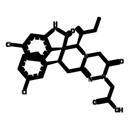 C=C(CC)[C@H]1N2CC(=O)N(CC(=O)O)N=C2C[C@@H](c2cccc(Cl)c2)[C@]12C(=O)Nc1cc(Cl)ccc12